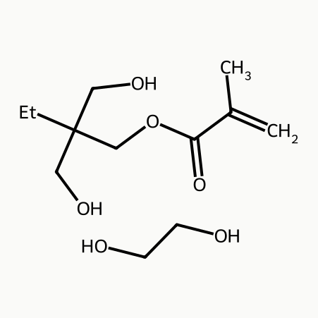 C=C(C)C(=O)OCC(CC)(CO)CO.OCCO